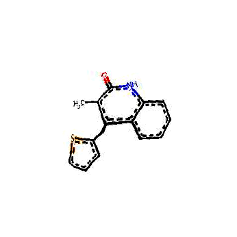 Cc1c(-c2cccs2)c2ccccc2[nH]c1=O